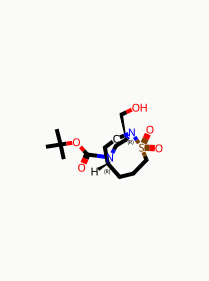 CC(C)(C)OC(=O)N1C[C@H](CO)N2CC[C@H]1CCCS2(=O)=O